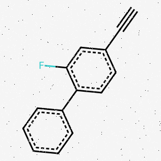 C#Cc1ccc(-c2ccccc2)c(F)c1